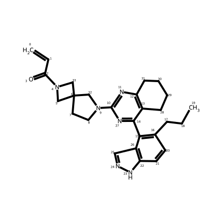 C=CC(=O)N1CC2(CCN(c3nc4c(c(-c5c(CCC)ccc6[nH]ncc56)n3)CCCC4)C2)C1